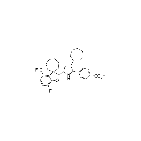 O=C(O)c1ccc(C2NC(C3Oc4c(F)ccc(C(F)(F)F)c4C34CCCCCC4)CC2C2CCCCCC2)cc1